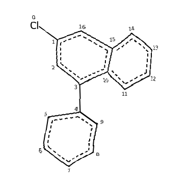 Clc1cc(-c2ccccc2)c2ccccc2c1